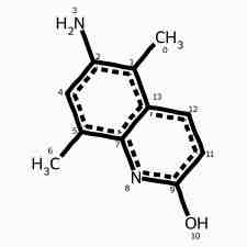 Cc1c(N)cc(C)c2nc(O)ccc12